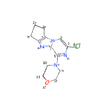 Clc1cn2c3c(nc2c(N2CCOCC2)n1)CCC3